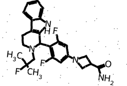 CC(C)(F)CN1CCc2c([nH]c3ccccc23)C1c1c(F)cc(N2CC(C(N)=O)C2)cc1F